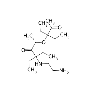 CCC(CC)(NCCN)C(=O)[C@H](C)OC(CC)(CC)C(C)=O